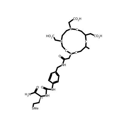 CSCC[C@H](NC(=O)Nc1ccc(CNC(=O)CN2CCC(C)CC(CC(=O)O)CCN(CC(=O)O)CCN(CC(=O)O)CC2)cc1)C(N)=O